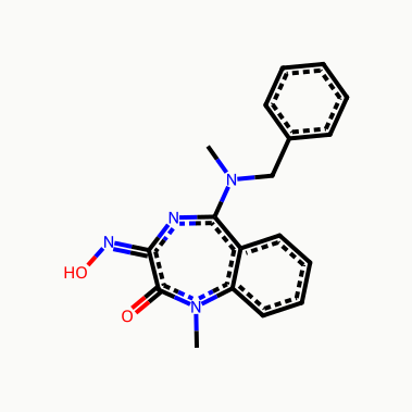 CN(Cc1ccccc1)c1n/c(=N/O)c(=O)n(C)c2ccccc12